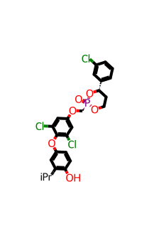 CC(C)c1cc(Oc2c(Cl)cc(OC[P@@]3(=O)OCC[C@@H](c4cccc(Cl)c4)O3)cc2Cl)ccc1O